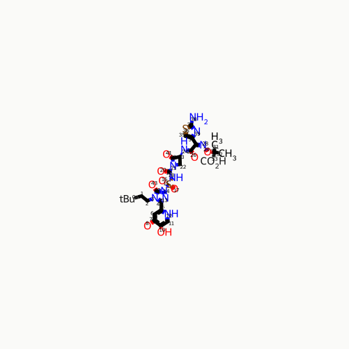 CC(C)(C)CCn1c(-c2cc(=O)c(O)c[nH]2)nn(S(=O)(=O)NC(=O)N2C[C@H](NC(=O)/C(=N\OC(C)(C)C(=O)O)c3csc(N)n3)C2=O)c1=O